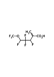 C=C(C(=O)O)C(F)C(F)(F)C(F)OC(F)(F)F